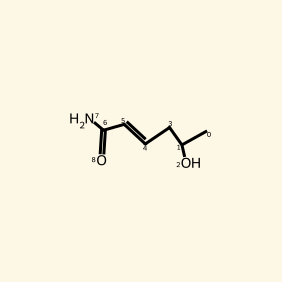 CC(O)CC=CC(N)=O